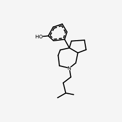 CC(C)CCN1CCCC2(c3cccc(O)c3)CCCC2C1